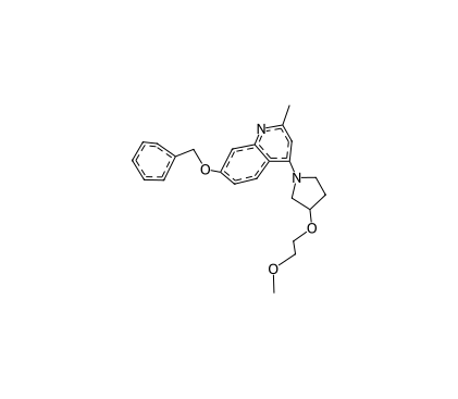 COCCOC1CCN(c2cc(C)nc3cc(OCc4ccccc4)ccc23)C1